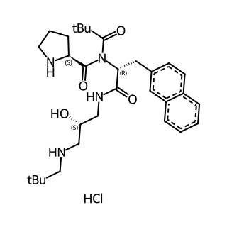 CC(C)(C)CNC[C@H](O)CNC(=O)[C@@H](Cc1ccc2ccccc2c1)N(C(=O)[C@@H]1CCCN1)C(=O)C(C)(C)C.Cl